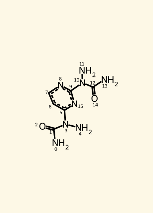 NC(=O)N(N)c1ccnc(N(N)C(N)=O)n1